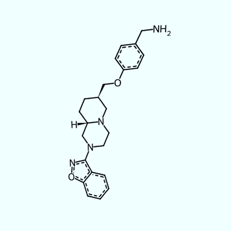 NCc1ccc(OC[C@@H]2CC[C@H]3CN(c4noc5ccccc45)CCN3C2)cc1